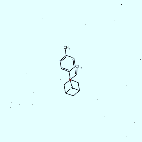 C=CCN1C2CC1CN(c1ccc(C)cc1)C2